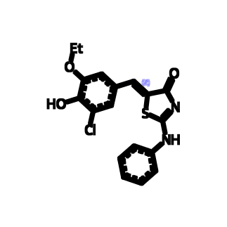 CCOc1cc(/C=C2\SC(Nc3ccccc3)=NC2=O)cc(Cl)c1O